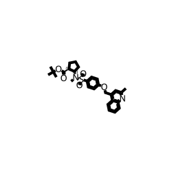 Cc1cc(COc2ccc(S(=O)(=O)N(C)[C@@H]3CCC[C@@H]3C(=O)OC(C)(C)C)cc2)c2ccccc2n1